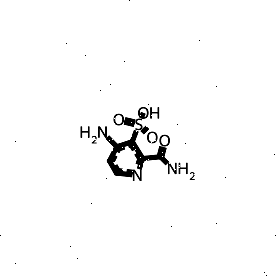 NC(=O)c1nccc(N)c1S(=O)(=O)O